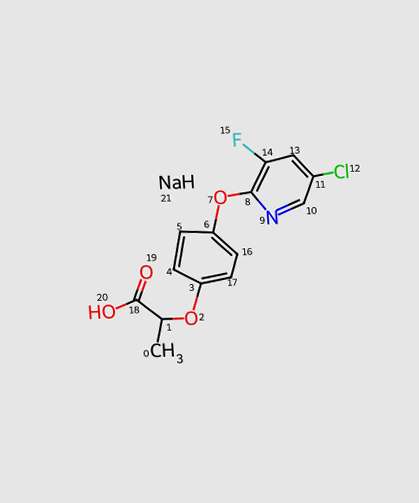 CC(Oc1ccc(Oc2ncc(Cl)cc2F)cc1)C(=O)O.[NaH]